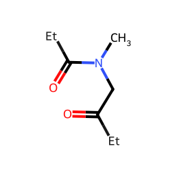 CCC(=O)CN(C)C(=O)CC